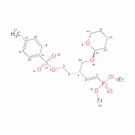 CCOP(=O)(/C=C/[C@H](CCOS(=O)(=O)c1ccc(C)cc1)CO[C@@H]1CCCCO1)OCC